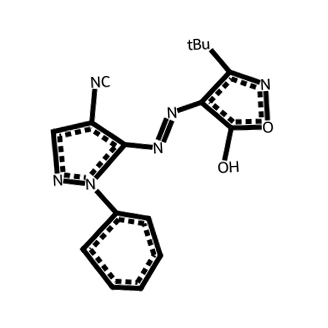 [C-]#[N+]c1cnn(-c2ccccc2)c1N=Nc1c(C(C)(C)C)noc1O